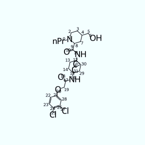 CCCN1CCC(CO)CC1C(=O)NC12CCC(NC(=O)COc3ccc(Cl)c(Cl)c3)(CC1)CC2